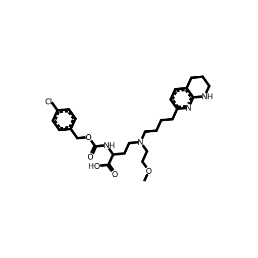 COCCN(CCCCc1ccc2c(n1)NCCC2)CCC(NC(=O)OCc1ccc(Cl)cc1)C(=O)O